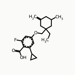 C=C1CC(C)CC(CC)(COc2cc(F)c(C(=O)O)c(C3CC3)c2)C1